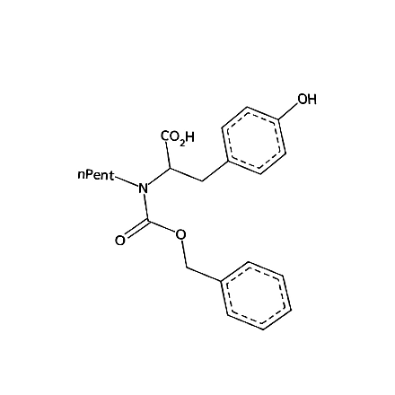 CCCCCN(C(=O)OCc1ccccc1)C(Cc1ccc(O)cc1)C(=O)O